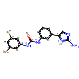 Nc1ncc(-c2cccc(NC(=O)Nc3cc(Br)cc(Br)c3)c2)[nH]1